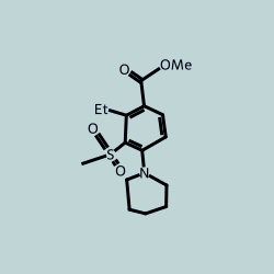 CCc1c(C(=O)OC)ccc(N2CCCCC2)c1S(C)(=O)=O